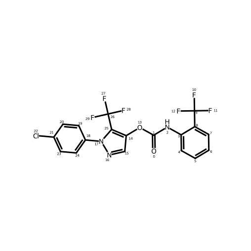 O=C(Nc1ccccc1C(F)(F)F)Oc1cnn(-c2ccc(Cl)cc2)c1C(F)(F)F